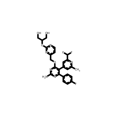 Cc1cc(-c2c(OCc3ccnc(OC(CO)CO)n3)nc(N)nc2-c2ccc(F)cc2)cc(C(F)F)n1